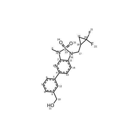 CN1c2nc(-c3cccc(CO)c3)ccc2N(CC2CC2(F)F)S1(=O)=O